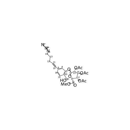 COC(=O)[C@H]1O[C@@H](Oc2cc(C#CCCCN=[N+]=[N-])ccc2CO)[C@H](OC(C)=O)[C@@H](OC(C)=O)[C@@H]1OC(C)=O